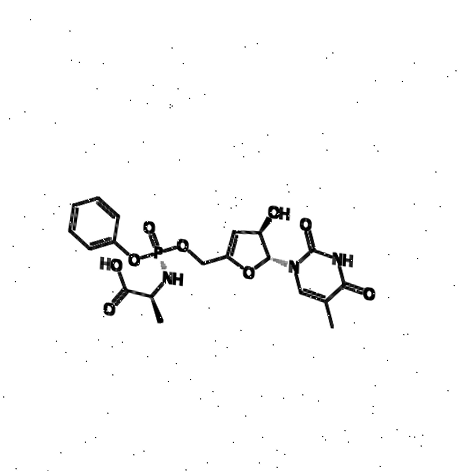 Cc1cn([C@@H]2OC(CO[P@@](=O)(N[C@@H](C)C(=O)O)Oc3ccccc3)=C[C@H]2O)c(=O)[nH]c1=O